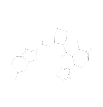 Cc1c(F)ccc(-n2nccn2)c1C(=O)N1CCC[C@@H](C)[C@H]1CNc1nc2ccc(Cl)cc2o1